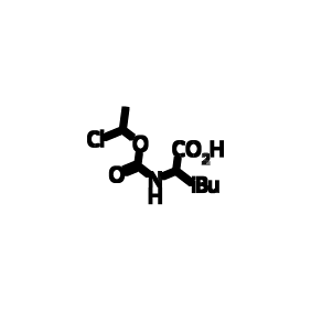 CCC(C)C(NC(=O)OC(C)Cl)C(=O)O